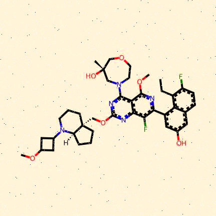 CCc1c(F)ccc2cc(O)cc(-c3nc(OC)c4c(N5CCOC[C@@](C)(O)C5)nc(OC[C@]56CCC[C@H]5N(C5CC(OC)C5)CCC6)nc4c3F)c12